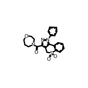 O=C(c1nn(-c2ccccc2)c2c1CS(=O)(=O)c1ccccc1-2)N1CCCOCC1